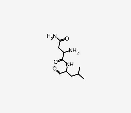 CC(C)CC([C]=O)NC(=O)C(N)CC(N)=O